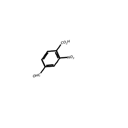 O=Cc1ccc(C(=O)O)c([N+](=O)[O-])c1